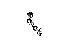 CC(C)OC(=O)N1CCC(COc2cc(B3OC(C)(C)C(C)(C)O3)ccn2)CC1